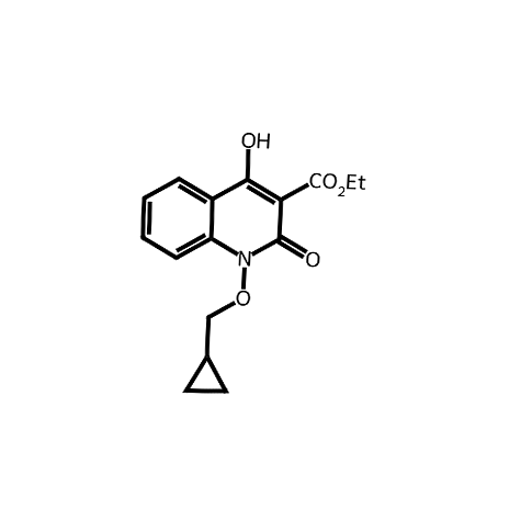 CCOC(=O)c1c(O)c2ccccc2n(OCC2CC2)c1=O